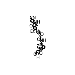 CCc1cc2c(cc1N1CCN(C(=O)CCC(=O)NCCNc3cccc4c3C(=O)N(C3CCC(=O)NC3=O)C4)CC1)C(C)(C)c1[nH]c3cc(C#N)ccc3c1C2=O